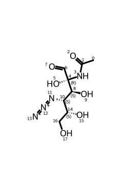 CC(=O)N[C@](O)(C=O)[C@@H](O)[C@@H](N=[N+]=[N-])[C@H](O)CO